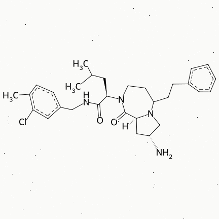 Cc1ccc(CNC(=O)[C@@H](CC(C)C)N2CCC(CCc3ccccc3)N3C[C@H](N)C[C@H]3C2=O)cc1Cl